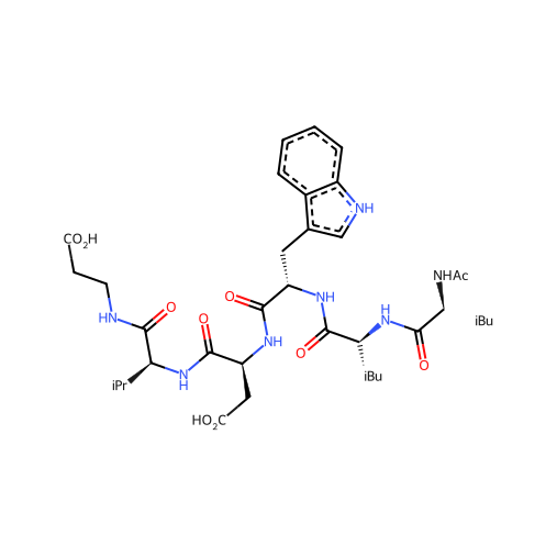 CC[C@H](C)[C@H](NC(C)=O)C(=O)N[C@H](C(=O)N[C@@H](Cc1c[nH]c2ccccc12)C(=O)N[C@@H](CC(=O)O)C(=O)N[C@H](C(=O)NCCC(=O)O)C(C)C)[C@@H](C)CC